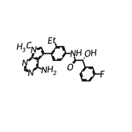 CCc1cc(NC(=O)[C@H](O)c2cccc(F)c2)ccc1-c1cn(C)c2ncnc(N)c12